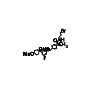 CO[C@H]1CC[C@](OC)(c2cc(F)cc(OCc3ccc(N(C)C(=O)NCCCBr)cc3)c2)CC1